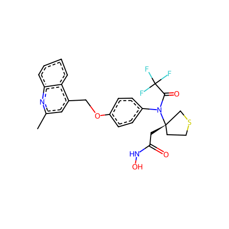 Cc1cc(COc2ccc(N(C(=O)C(F)(F)F)[C@@]3(CC(=O)NO)CCSC3)cc2)c2ccccc2n1